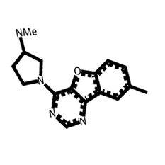 CNC1CCN(c2ncnc3c2oc2ccc(C)cc23)C1